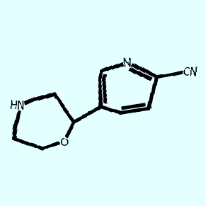 N#Cc1ccc(C2CNCCO2)cn1